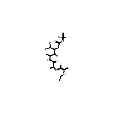 CC(NC=O)C(=O)NC(C)C(=O)NC(C)C(=O)C(CC(=O)OC(C)(C)C)C(F)F